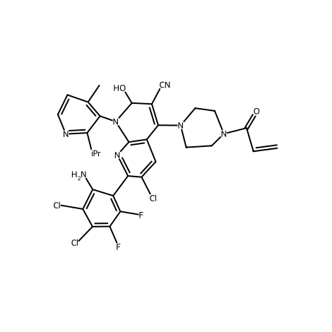 C=CC(=O)N1CCN(C2=C(C#N)C(O)N(c3c(C)ccnc3C(C)C)c3nc(-c4c(N)c(Cl)c(Cl)c(F)c4F)c(Cl)cc32)CC1